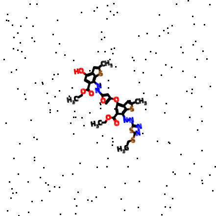 CCOC(=O)c1cc(O)c2cc(C)sc2c1/N=N/c1cc(Oc2cc(C(=O)OCC)c(/N=N/c3nnc(SCC)s3)c3sc(C)cc23)co1